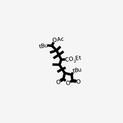 CCOC(=O)C(C(C)C(C)(C)C1C(=O)OC(=O)C1C(C)(C)C)C(C)(C)C(C)(C)C(OC(C)=O)C(C)(C)C